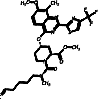 C=CCCCCN(C)C(=O)N1CC[C@H](Oc2nc(-c3nc(C(F)(F)F)cs3)nc3c(C)c(OC)ccc23)C[C@H]1C(=O)OC